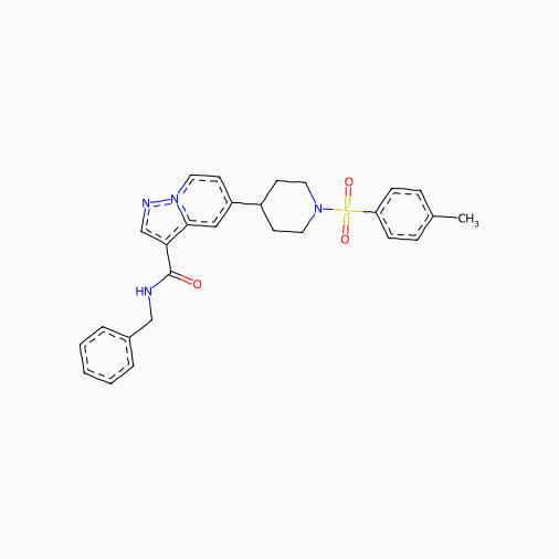 Cc1ccc(S(=O)(=O)N2CCC(c3ccn4ncc(C(=O)NCc5ccccc5)c4c3)CC2)cc1